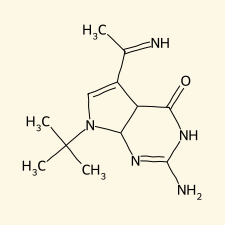 CC(=N)C1=CN(C(C)(C)C)C2N=C(N)NC(=O)C12